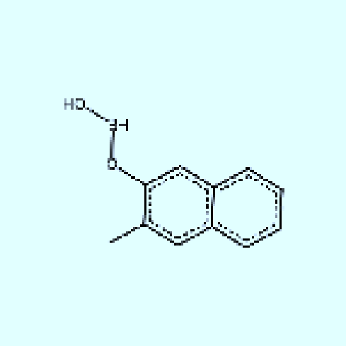 Cc1cc2ccccc2cc1OBO